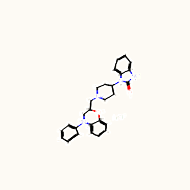 Cl.O=c1[nH]c2ccccc2n1C1CCN(CC2CN(c3ccccc3)c3ccccc3O2)CC1